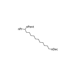 CCCCCCCCCCCCCCCCCCCCCC(CCC)CCCCC